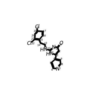 O=c1cc(-c2ccncc2)[nH]c(NCCc2ccc(Cl)cc2Cl)n1